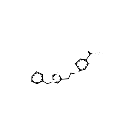 COC(=O)c1ccc(OCCc2cn(Cc3ccccc3)cn2)cc1